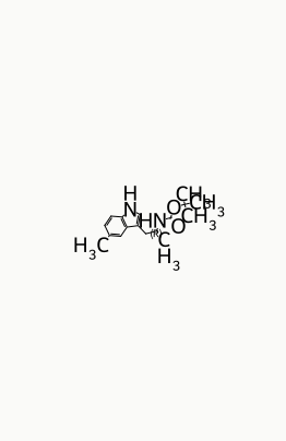 Cc1ccc2[nH]cc(C[C@@H](C)NC(=O)OC(C)(C)C)c2c1